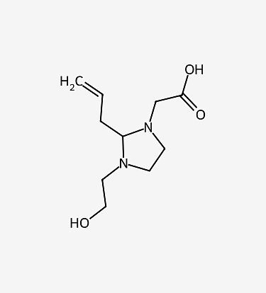 C=CCC1N(CCO)CCN1CC(=O)O